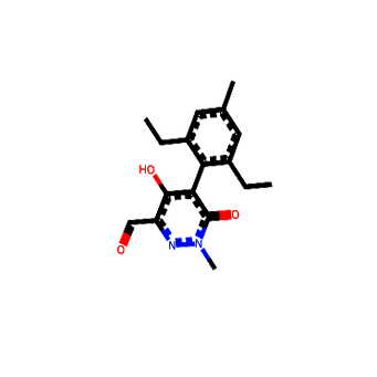 CCc1cc(C)cc(CC)c1-c1c(O)c(C=O)nn(C)c1=O